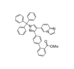 COC(=O)c1ccccc1-c1ccc(-c2nn(C(c3ccccc3)(c3ccccc3)c3ccccc3)cc2-c2ccc3nccn3c2)cc1